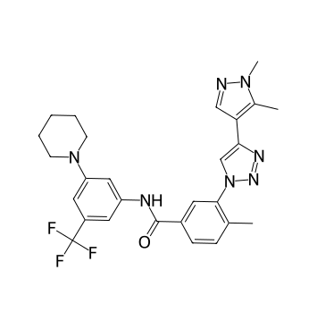 Cc1ccc(C(=O)Nc2cc(N3CCCCC3)cc(C(F)(F)F)c2)cc1-n1cc(-c2cnn(C)c2C)nn1